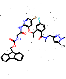 C[C@@H](Oc1cc(Br)cnc1NC(=O)CNC(=O)OCC1c2ccccc2-c2ccccc21)c1cc(F)ccc1C(=O)N(C)Cc1cc(C#N)n(C)n1